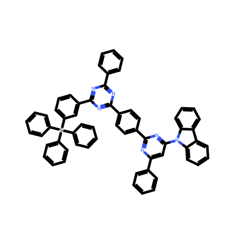 c1ccc(-c2cc(-n3c4ccccc4c4ccccc43)nc(-c3ccc(-c4nc(-c5ccccc5)nc(-c5cccc([Si](c6ccccc6)(c6ccccc6)c6ccccc6)c5)n4)cc3)n2)cc1